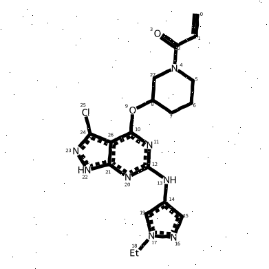 C=CC(=O)N1CCCC(Oc2nc(Nc3cnn(CC)c3)nc3[nH]nc(Cl)c23)C1